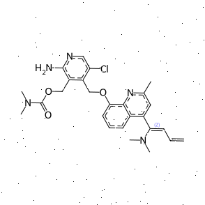 C=C/C=C(/c1cc(C)nc2c(OCc3c(Cl)cnc(N)c3COC(=O)N(C)C)cccc12)N(C)C